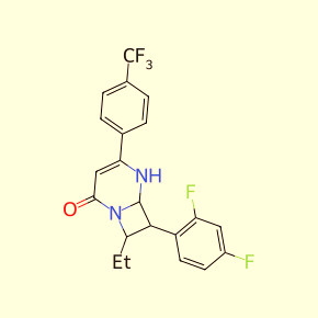 CCC1C(c2ccc(F)cc2F)C2NC(c3ccc(C(F)(F)F)cc3)=CC(=O)N12